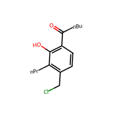 CCCCC(=O)c1ccc(CCl)c(CCC)c1O